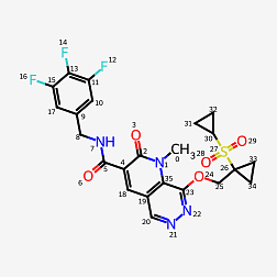 Cn1c(=O)c(C(=O)NCc2cc(F)c(F)c(F)c2)cc2cnnc(OCC3(S(=O)(=O)C4CC4)CC3)c21